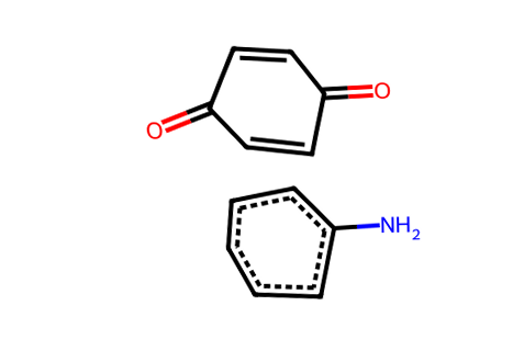 Nc1ccccc1.O=C1C=CC(=O)C=C1